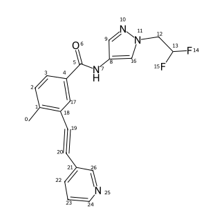 Cc1ccc(C(=O)Nc2cnn(CC(F)F)c2)cc1C#Cc1cccnc1